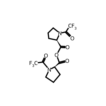 O=C(OC(=O)[C@H]1CCCN1C(=O)C(F)(F)F)[C@H]1CCCN1C(=O)C(F)(F)F